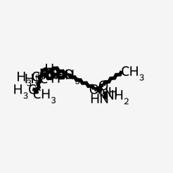 CCCCCCCCOC[C@@H](CNC(=N)N)OCCCCCCCCO[C@H]1CC[C@@]2(C)C(=CC[C@H]3[C@@H]4CC[C@H]([C@H](C)CCCC(C)C)[C@@]4(C)CC[C@@H]32)C1